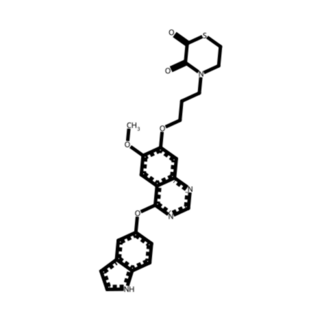 COc1cc2c(Oc3ccc4[nH]ccc4c3)ncnc2cc1OCCCN1CCSC(=O)C1=O